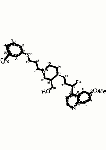 COc1ccc2nccc(C(F)CC[C@@H]3CCN(CCCSc4cccc(Cl)c4)C[C@@H]3CO)c2c1